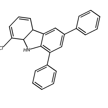 ClC1=CC=CC2c3cc(-c4ccccc4)cc(-c4ccccc4)c3NC12